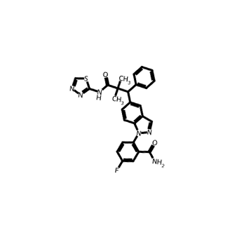 CC(C)(C(=O)Nc1nncs1)C(c1ccccc1)c1ccc2c(cnn2-c2ccc(F)cc2C(N)=O)c1